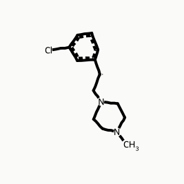 CN1CCN(C[CH]c2cccc(Cl)c2)CC1